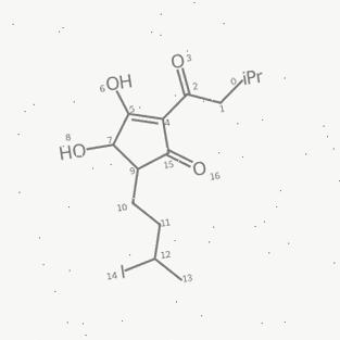 CC(C)CC(=O)C1=C(O)C(O)C(CCC(C)I)C1=O